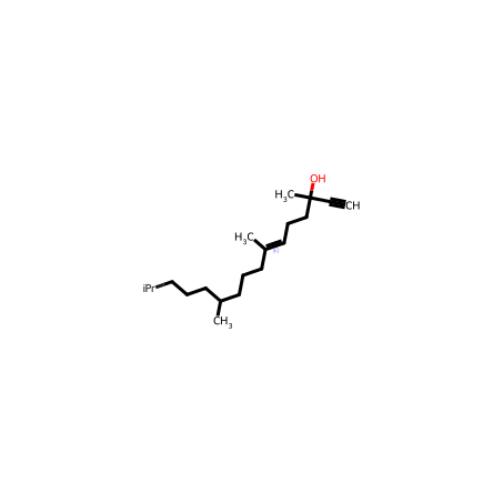 C#CC(C)(O)CC/C=C(\C)CCCC(C)CCCC(C)C